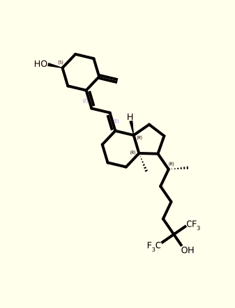 C=C1CC[C@H](O)C/C1=C/C=C1\CCC[C@]2(C)C([C@H](C)CCCC(O)(C(F)(F)F)C(F)(F)F)CC[C@@H]12